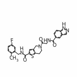 Cc1ccc(F)cc1CNC(=O)c1cc2c(s1)CCN(C(=O)CNC(=O)c1ccc3[nH]ncc3c1)C2